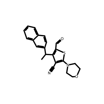 CC(c1ccc2ccccc2c1)c1c(C=O)sc(N2CCOCC2)c1C#N